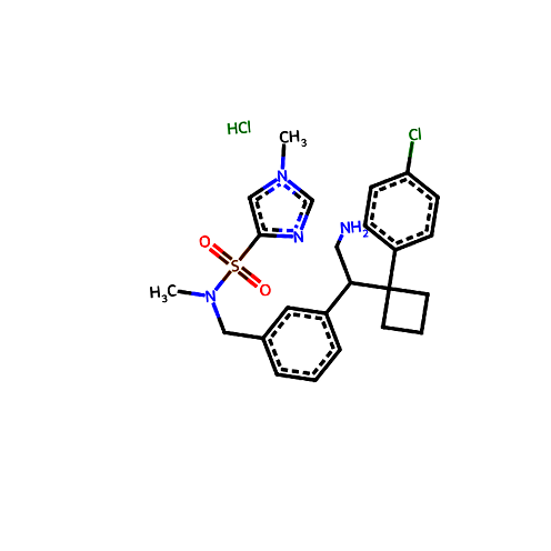 CN(Cc1cccc(C(CN)C2(c3ccc(Cl)cc3)CCC2)c1)S(=O)(=O)c1cn(C)cn1.Cl